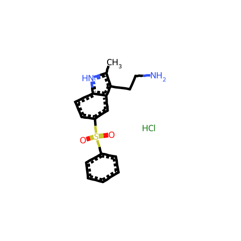 Cc1[nH]c2ccc(S(=O)(=O)c3ccccc3)cc2c1CCN.Cl